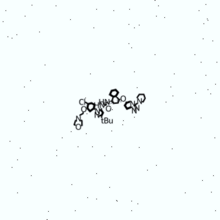 CC(C)(C)c1cc(NC(=O)N[C@H]2CC[C@@H](Oc3ccc4nnc(N5CCCCC5)n4c3)c3ccccc32)n(-c2ccc(Cl)c(OCCN3CCOCC3)c2)n1